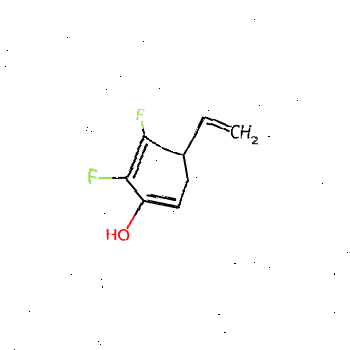 C=CC1CC=C(O)C(F)=C1F